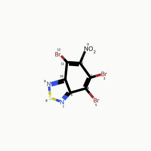 O=[N+]([O-])c1c(Br)c(Br)c2nsnc2c1Br